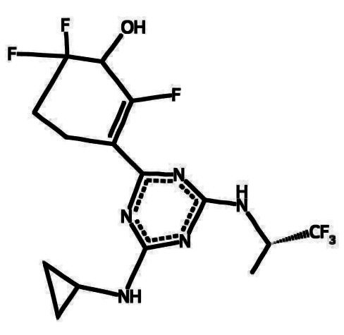 C[C@H](Nc1nc(NC2CC2)nc(C2=C(F)C(O)C(F)(F)CC2)n1)C(F)(F)F